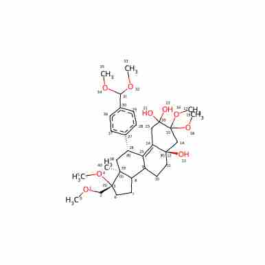 COC[C@]1(OC)CCC2C3CC[C@@]4(O)CC(OC)(OC)C(O)(O)CC4=C3[C@@H](c3ccc(C(OC)OC)cc3)C[C@@]21C